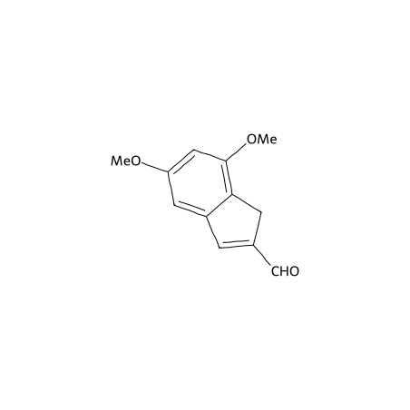 COc1cc2c(c(OC)c1)CC(C=O)=C2